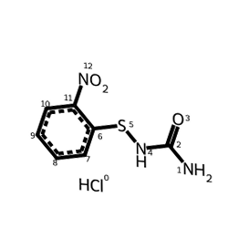 Cl.NC(=O)NSc1ccccc1[N+](=O)[O-]